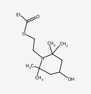 CCC(=O)OCCN1C(C)(C)CC(O)CC1(C)C